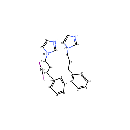 [I][Ni][I].c1ccc(CCCn2ccnc2)cc1.c1ccc(CCCn2ccnc2)cc1